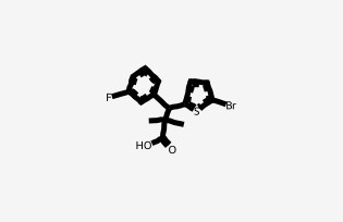 CC(C)(C(=O)O)C(c1cccc(F)c1)c1ccc(Br)s1